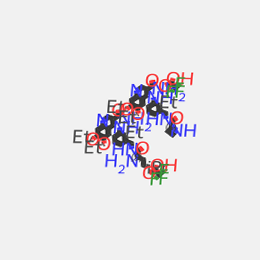 CCOc1cc2ncc(C(N)=O)c(Nc3cccc(CNC(=O)[C@@H](N)CCC(C)C)c3CC)c2cc1OCC.CCOc1cc2ncc(C(N)=O)c(Nc3cccc(CNC(=O)[C@@H]4CCN4)c3CC)c2cc1OCC.O=C(O)C(F)(F)F.O=C(O)C(F)(F)F